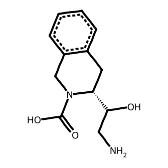 NCC(O)[C@H]1Cc2ccccc2CN1C(=O)O